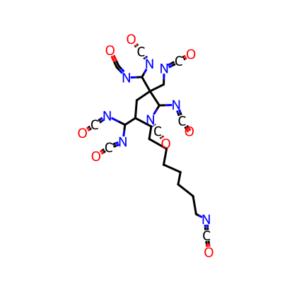 O=C=NCCCCCCCCC(CC(CN=C=O)(C(N=C=O)N=C=O)C(N=C=O)N=C=O)C(N=C=O)N=C=O